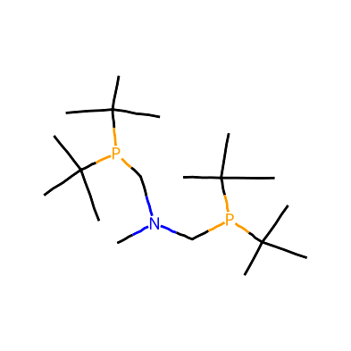 CN(CP(C(C)(C)C)C(C)(C)C)CP(C(C)(C)C)C(C)(C)C